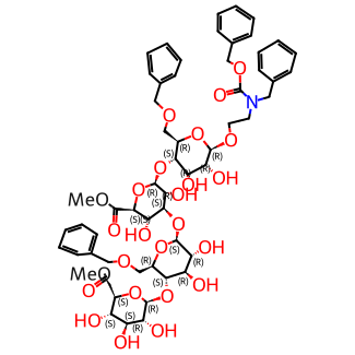 COC(=O)[C@H]1O[C@@H](O[C@H]2[C@H](O)[C@@H](O)[C@H](O[C@@H]3[C@@H](O)[C@H](O[C@H]4[C@H](O)[C@@H](O)[C@H](OCCN(Cc5ccccc5)C(=O)OCc5ccccc5)O[C@@H]4COCc4ccccc4)O[C@H](C(=O)OC)[C@H]3O)O[C@@H]2COCc2ccccc2)[C@H](O)[C@@H](O)[C@@H]1O